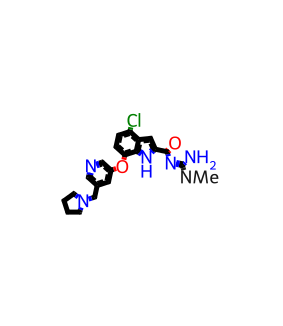 CNC(N)=NC(=O)c1cc2c(Cl)ccc(Oc3cncc(CN4CCCC4)c3)c2[nH]1